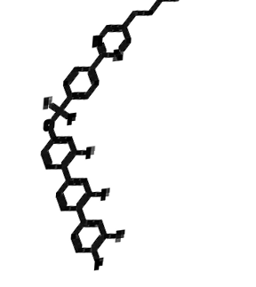 CCCCCc1cnc(-c2ccc(C(F)(F)Oc3ccc(-c4ccc(-c5ccc(F)c(F)c5)c(F)c4)c(F)c3)cc2)nc1